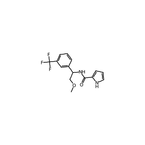 COCC(NC(=O)c1ccc[nH]1)c1cccc(C(F)(F)F)c1